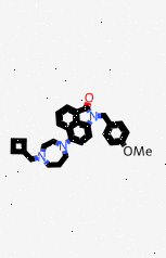 COc1ccc(CN2C(=O)c3cccc4c(N5CCCN(CC6CCC6)CC5)ccc2c34)cc1